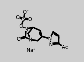 CC(=O)c1ccn(C2=CC3CN(C2)C(=O)N3OS(=O)(=O)[O-])n1.[Na+]